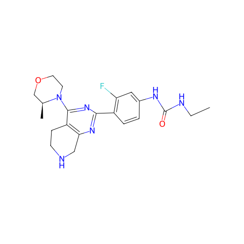 CCNC(=O)Nc1ccc(-c2nc3c(c(N4CCOC[C@@H]4C)n2)CCNC3)c(F)c1